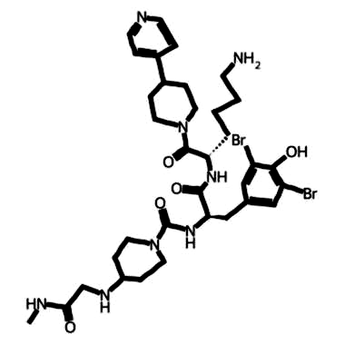 CNC(=O)CNC1CCN(C(=O)N[C@H](Cc2cc(Br)c(O)c(Br)c2)C(=O)N[C@@H](CCCCN)C(=O)N2CCC(c3ccncc3)CC2)CC1